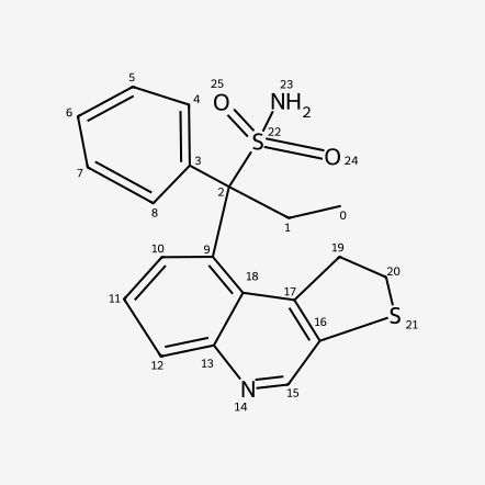 CCC(c1ccccc1)(c1cccc2ncc3c(c12)CCS3)S(N)(=O)=O